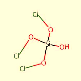 O[Si](OCl)(OCl)OCl